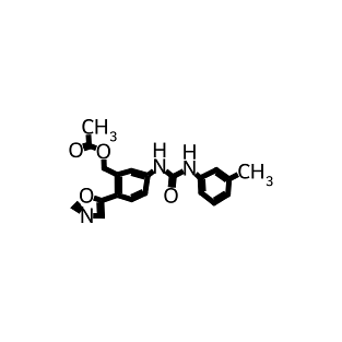 CC(=O)OCc1cc(NC(=O)Nc2cccc(C)c2)ccc1-c1cnco1